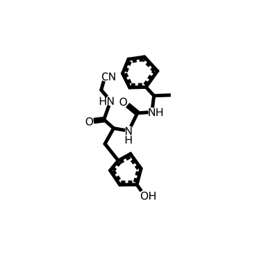 CC(NC(=O)NC(Cc1ccc(O)cc1)C(=O)NCC#N)c1ccccc1